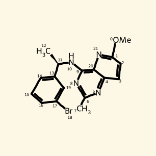 COc1ccc2nc(C)nc(N[C@H](C)c3cccc(Br)c3)c2n1